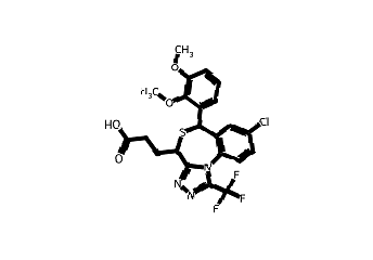 COc1cccc(C2SC(CCC(=O)O)c3nnc(C(F)(F)F)n3-c3ccc(Cl)cc32)c1OC